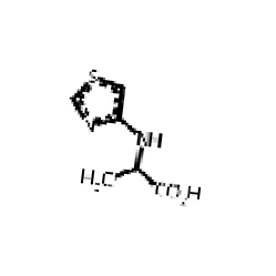 CC(Nc1cscn1)C(=O)O